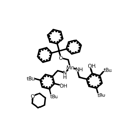 C1CCOCC1.CC(C)(C)c1cc(C[NH][Mn]([CH2]OC(c2ccccc2)(c2ccccc2)c2ccccc2)[NH]Cc2cc(C(C)(C)C)cc(C(C)(C)C)c2O)c(O)c(C(C)(C)C)c1